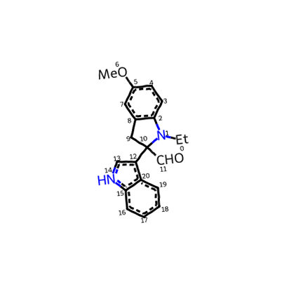 CCN1c2ccc(OC)cc2CC1(C=O)c1c[nH]c2ccccc12